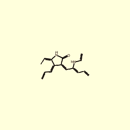 C=C/C=C(/C=C1\C(=O)NC(=C\C)\C1=C/C=C)NC=C